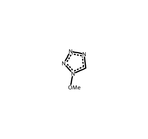 [CH2]On1cnnn1